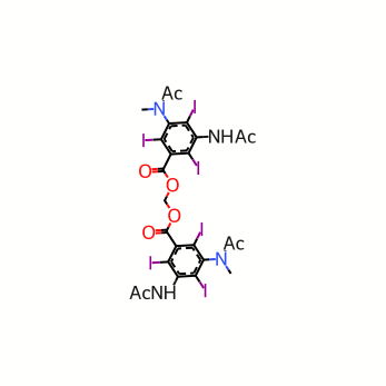 CC(=O)Nc1c(I)c(C(=O)OCOC(=O)c2c(I)c(NC(C)=O)c(I)c(N(C)C(C)=O)c2I)c(I)c(N(C)C(C)=O)c1I